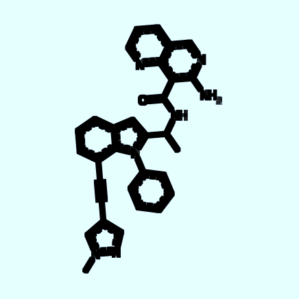 CC(NC(=O)c1c(N)ncc2cccnc12)c1cc2cccc(C#Cc3cnn(C)c3)c2n1-c1ccccc1